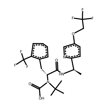 C[C@@H](NC(=O)[C@@H](Cc1ccccc1C(F)(F)F)N(C(=O)O)C(C)(C)C)c1ccc(OCC(F)(F)F)cn1